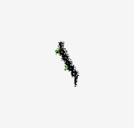 CCCCCC1CCC(c2ccc(C3=CCC(C4CCC(c5ccc(CCCC)c(F)c5)CC4)CC3)c(F)c2)CC1